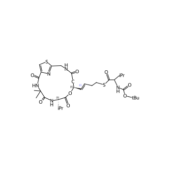 CC(C)C(NC(=O)OC(C)(C)C)C(=O)SCC/C=C/[C@@H]1CC(=O)NCc2nc(cs2)C(=O)NC(C)(C)C(=O)N[C@@H](C(C)C)C(=O)O1